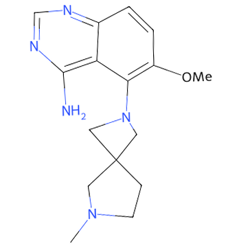 COc1ccc2ncnc(N)c2c1N1CC2(CCN(C)C2)C1